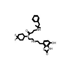 CC(C)(Cc1ccccc1)NCCC(=O)N(CCNCCc1ccc(O)c2[nH]c(=O)sc12)C1CCC(F)(F)CC1